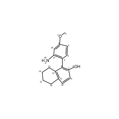 COc1ccc(-c2c(O)ccc3c2CCCC3)c(N)c1